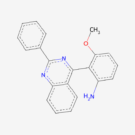 COc1cccc(N)c1-c1nc(-c2ccccc2)nc2ccccc12